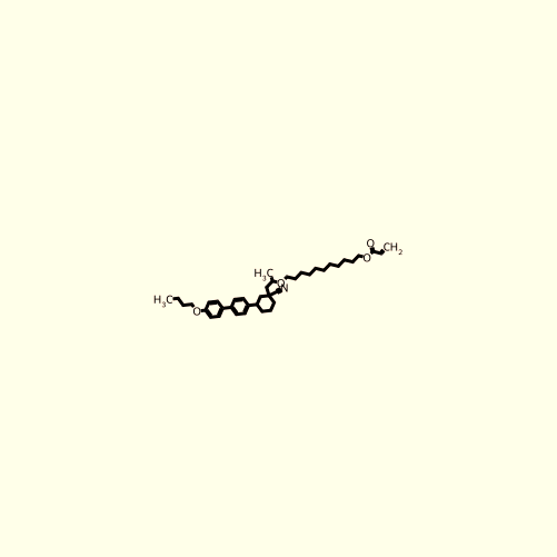 C=CC(=O)OCCCCCCCCCCCOC(C)CC1(C#N)CCCC(c2ccc(-c3ccc(OCCCC)cc3)cc2)C1